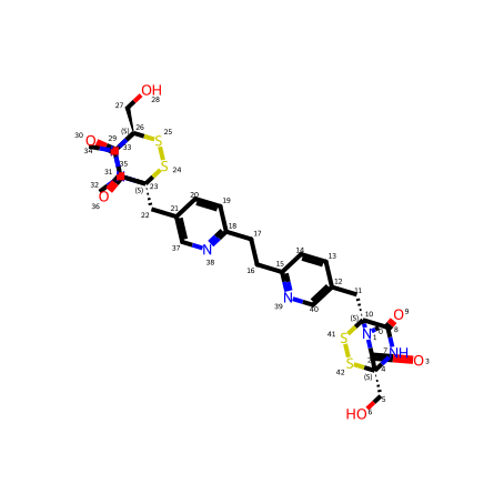 CN1C(=O)[C@@]2(CO)NC(=O)[C@]1(Cc1ccc(CCc3ccc(C[C@@]45SS[C@@](CO)(C(=O)N4C)N(C)C5=O)cn3)nc1)SS2